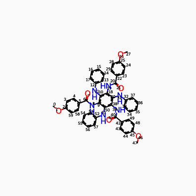 COc1ccc(C(=O)Nc2c(Nc3ccccc3)c(NC(=O)c3ccc(OC)cc3)c(Nc3ccccc3)c(NC(=O)c3ccc(OC)cc3)c2Nc2ccccc2)cc1